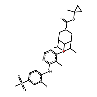 Cc1c(Nc2ccc(S(C)(=O)=O)cc2F)ncnc1OC1C2CN(C(=O)OC3(C)CC3)CC1C(C)OC2C